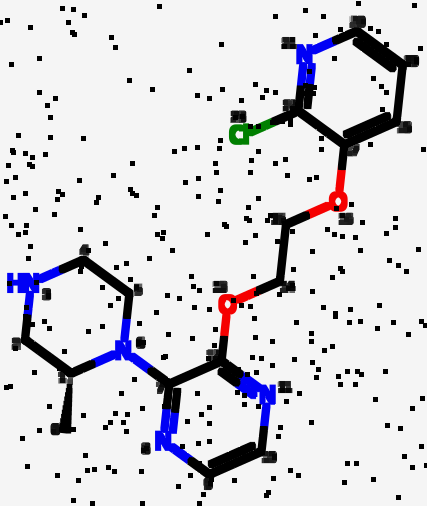 C[C@@H]1CNCCN1c1nccnc1OCCOc1cccnc1Cl